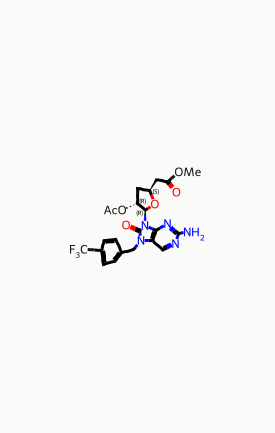 COC(=O)C[C@@H]1C[C@@H](OC(C)=O)[C@H](n2c(=O)n(Cc3ccc(C(F)(F)F)cc3)c3cnc(N)nc32)O1